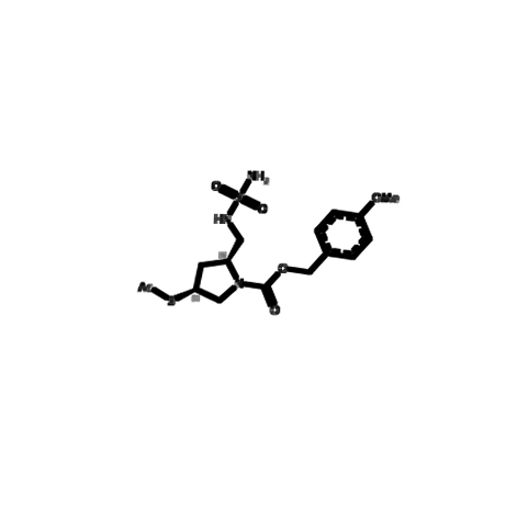 COc1ccc(COC(=O)N2C[C@@H](SC(C)=O)C[C@H]2CNS(N)(=O)=O)cc1